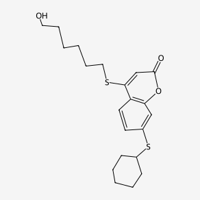 O=c1cc(SCCCCCCO)c2ccc(SC3CCCCC3)cc2o1